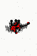 C=CCO[C@@H]1[C@@H](O[C@@H]2O[C@H](CO[Si](C)(C)C(C)(C)C)[C@@H](O[C@H]3O[C@@H](CNC(=O)OCc4ccccc4)[C@@H](O[Si](C)(C)C(C)(C)C)[C@H](O[Si](C)(C)C(C)(C)C)[C@H]3NC(=O)OCc3ccccc3)[C@H]2O[Si](C)(C)C(C)(C)C)[C@H](O[C@H]2O[C@@H]3COC(c4ccccc4)O[C@H]3[C@H](O[Si](C)(C)C(C)(C)C)[C@H]2NC(=O)OCc2ccccc2)[C@@H](NC(=O)OCc2ccccc2)C[C@H]1NC(=O)[C@@H](O)CCNC(=O)OCc1ccccc1